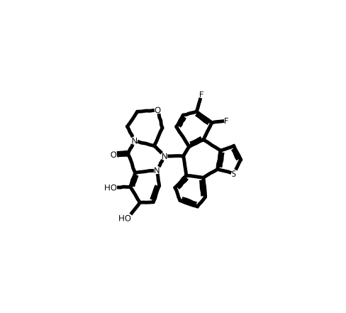 O=C1C2=C(O)C(O)C=CN2N(C2c3ccccc3-c3sccc3-c3c2ccc(F)c3F)C2COCCN12